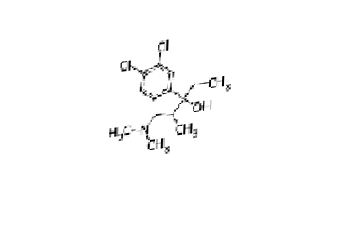 CCC(O)(c1ccc(Cl)c(Cl)c1)C(C)CN(C)C